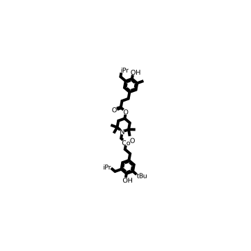 Cc1cc(CCC(=O)OC2CC(C)(C)N([CH2][Co](=[O])[CH2]Cc3cc(CC(C)C)c(O)c(C(C)(C)C)c3)C(C)(C)C2)cc(CC(C)C)c1O